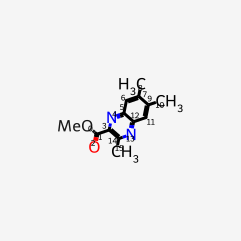 COC(=O)c1nc2cc(C)c(C)cc2nc1C